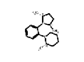 C[C@@H]1CC[C@@H](C)P1c1ccccc1P1CCCC[C@@H]1C